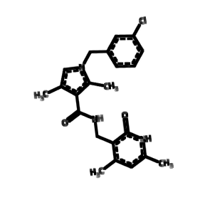 Cc1cc(C)c(CNC(=O)c2c(C)cn(Cc3cccc(Cl)c3)c2C)c(=O)[nH]1